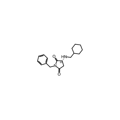 O=C1C[C@@H](NCC2CCCCC2)C(=O)N1Cc1ccccc1